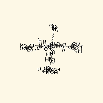 CC(=O)N[C@H]1[C@H](OCCCCC(=O)NCCCNC(=O)CCOCC(COCCC(=O)NCCCNC(=O)CCCCO[C@H]2C[C@@H](O)[C@@H](O)[C@@H](CO)O2)(COCCC(=O)NCCCNC(=O)CCCCO[C@H]2C[C@@H](O)[C@@H](O)[C@@H](CO)O2)NC(=O)CCCCCCCCCCCN2C(=O)C=CC2=O)O[C@H](CS)[C@H](O)[C@@H]1O